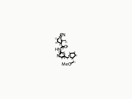 COC[C@H]1CCCN1Cc1cnc(NC(=O)[C@H]2CCN(C#N)[C@H]2C)s1